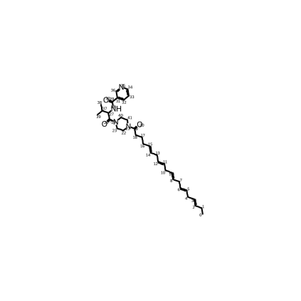 CCC=CCC=CCC=CCC=CCC=CCCCC(=O)N1CCN(C(=O)C(NC(=O)c2cccnc2)C(C)C)CC1